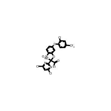 CCC(=O)C(C#N)(Oc1cc(Oc2ccc(C(F)(F)F)cc2Cl)ccc1[N+](=O)[O-])c1nc(Cl)cc(Cl)n1